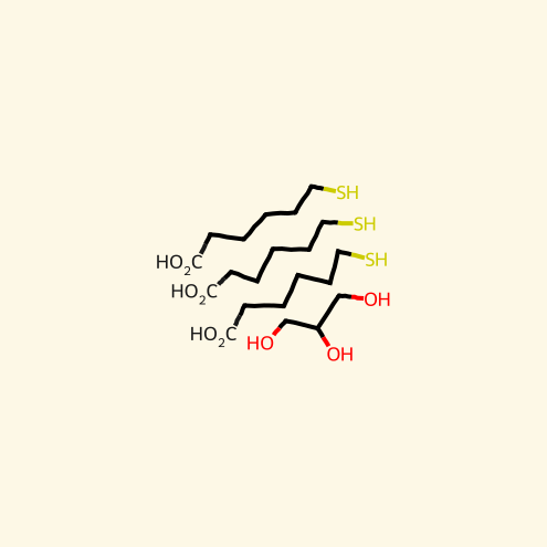 O=C(O)CCCCCS.O=C(O)CCCCCS.O=C(O)CCCCCS.OCC(O)CO